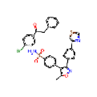 Cc1onc(-c2ccc(-c3cscn3)cc2)c1-c1ccc(S(N)(=O)=O)cc1.O=C(Cc1ccccc1)c1ccc(Br)cc1